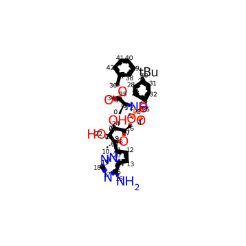 C[C@H](NP(=O)(OC[C@H]1O[C@@](C)(c2ccc3c(N)ncnn23)[C@H](O)[C@@H]1O)Oc1ccc(C(C)(C)C)cc1)C(=O)OCc1ccccc1